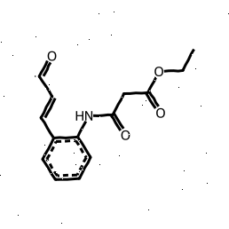 CCOC(=O)CC(=O)Nc1ccccc1/C=C/[C]=O